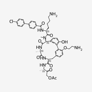 CC(=O)OCC(=O)[C@H](C)NC(=O)[C@@H]1Cc2ccc(OCCN)c(c2)-c2cc(ccc2O)[C@H](N(C)C(=O)[C@H](CCCCN)NC(=O)c2ccc(-c3ccc(Cl)cc3)cc2)C(=O)N[C@@H](C)C(=O)N1